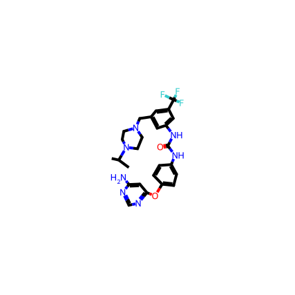 CC(C)N1CCN(Cc2cc(NC(=O)Nc3ccc(Oc4cc(N)ncn4)cc3)cc(C(F)(F)F)c2)CC1